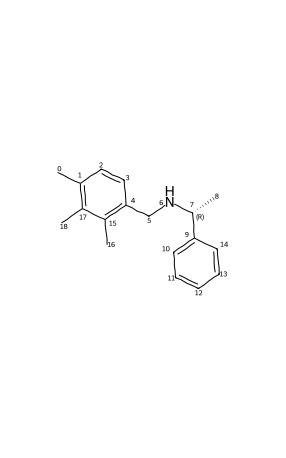 Cc1ccc(CN[C@H](C)c2ccccc2)c(C)c1C